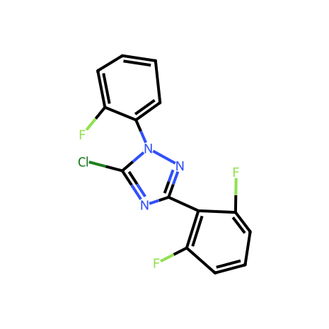 Fc1ccccc1-n1nc(-c2c(F)cccc2F)nc1Cl